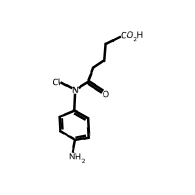 Nc1ccc(N(Cl)C(=O)CCCC(=O)O)cc1